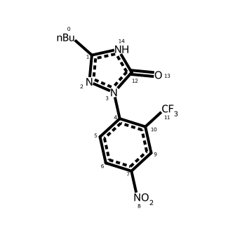 CCCCc1nn(-c2ccc([N+](=O)[O-])cc2C(F)(F)F)c(=O)[nH]1